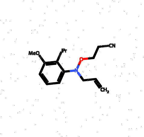 C=CCN(OCCC#N)c1cccc(OC)c1C(C)C